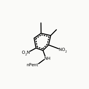 CCCCCNc1c([N+](=O)[O-])cc(C)c(C)c1[N+](=O)[O-]